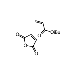 C=CC(=O)OCC(C)C.O=C1C=CC(=O)O1